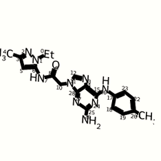 CCn1nc(C)cc1NC(=O)Cn1cnc2c(Nc3ccc(C)cc3)nc(N)nc21